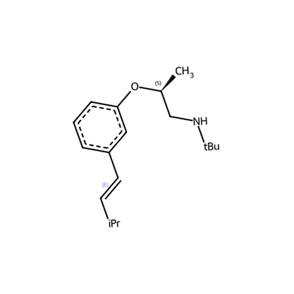 CC(C)/C=C/c1cccc(O[C@@H](C)CNC(C)(C)C)c1